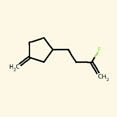 C=C(F)CCC1CCC(=C)C1